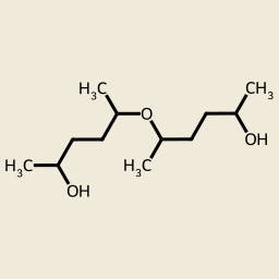 CC(O)CCC(C)OC(C)CCC(C)O